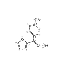 CC(C)(C)c1ccc(C(=O)c2ccco2)cc1.Cl